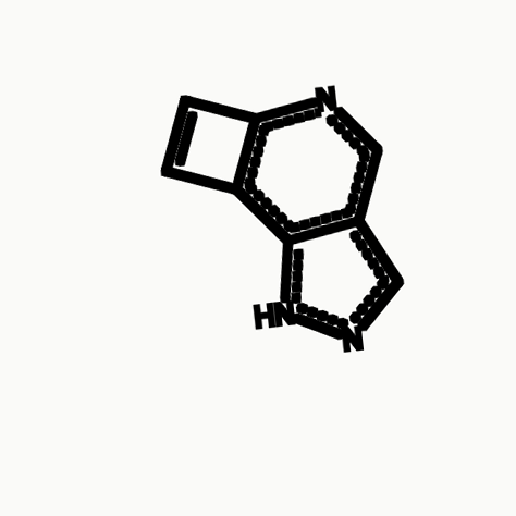 C1=Cc2c1ncc1cn[nH]c21